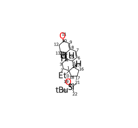 CCC12CC[C@H]3[C@@H](C=CC4=CC(=O)CC[C@@H]43)[C@@H]1CC[C@@H]2O[Si](C)(C)C(C)(C)C